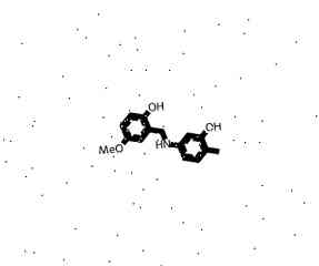 COc1ccc(O)c(CNc2ccc(C)c(O)c2)c1